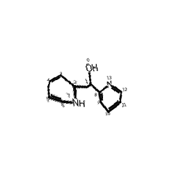 OC([C]1C=CC=CN1)c1ccccn1